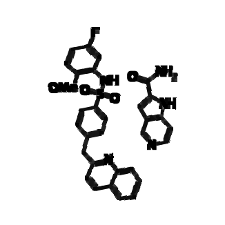 COc1ccc(F)cc1NS(=O)(=O)c1ccc(Cc2ccc3ccccc3n2)cc1.NC(=O)c1cc2cnccc2[nH]1